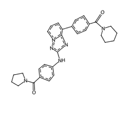 O=C(c1ccc(-c2cccn3nc(Nc4ccc(C(=O)N5CCCC5)cc4)nc23)cc1)N1CCCCC1